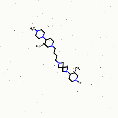 CCN1CCC(N2CC3(CN(CCCCN4CCC(N5CCN(C)CC5)[C@H](C)C4)C3)C2)[C@@H](C)C1